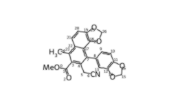 COC(=O)c1c(CC#N)c(-c2ccc3c(c2)OCO3)c2c3c(ccc2c1C)OCO3